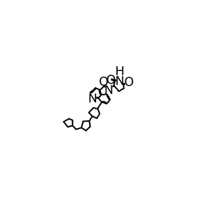 O=C1CCC(N2C(=O)c3ccnc4c(C5CCC(C6CCC(CC7CCCC7)C6)CC5)ccc2c34)C(=O)N1